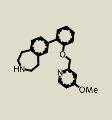 COc1ccnc(COc2ccccc2-c2ccc3c(c2)CCNCC3)c1